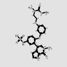 CCS(=O)(=O)Nc1ccc(Oc2cccc(OCCN(C)C(=O)OC(C)(C)C)c2)c(-c2cn(C)c(=O)c3[nH]ccc23)c1